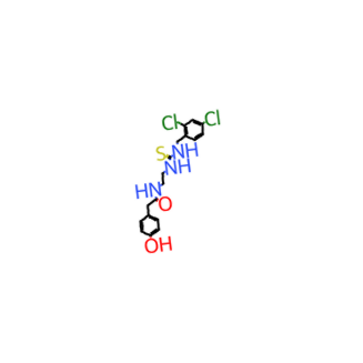 O=C(Cc1ccc(O)cc1)NCCNC(=S)NCc1ccc(Cl)cc1Cl